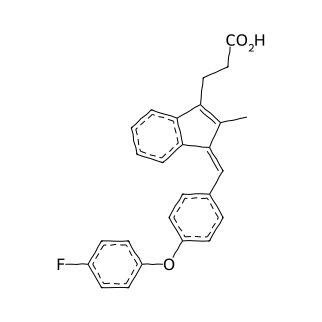 CC1=C(CCC(=O)O)c2ccccc2/C1=C\c1ccc(Oc2ccc(F)cc2)cc1